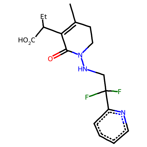 CCC(C(=O)O)C1=C(C)CCN(NCC(F)(F)c2ccccn2)C1=O